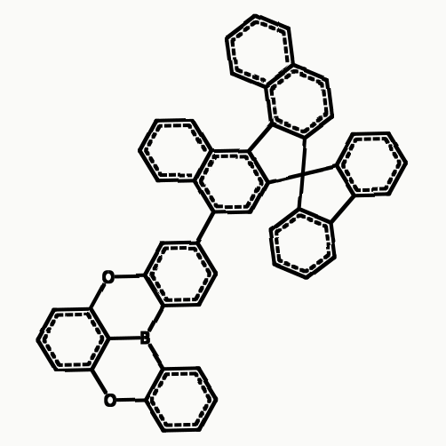 c1ccc2c(c1)Oc1cccc3c1B2c1ccc(-c2cc4c(c5ccccc25)-c2c(ccc5ccccc25)C42c4ccccc4-c4ccccc42)cc1O3